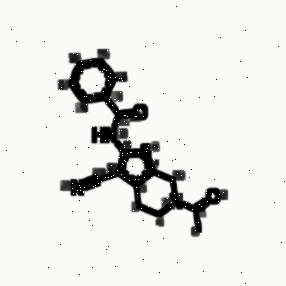 CC(=O)N1CCc2c(sc(NC(=O)c3ccccc3)c2C#N)C1